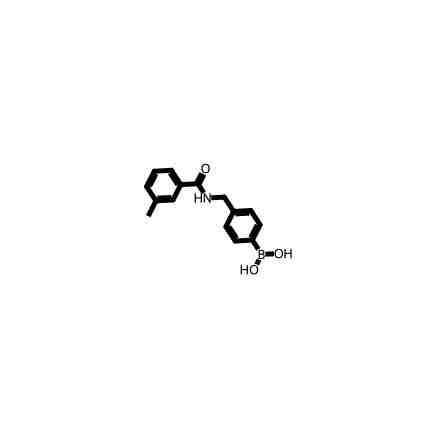 Cc1cccc(C(=O)NCc2ccc(B(O)O)cc2)c1